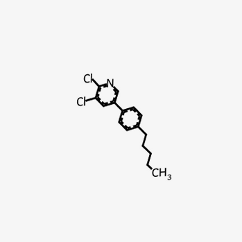 CCCCCc1ccc(-c2cnc(Cl)c(Cl)c2)cc1